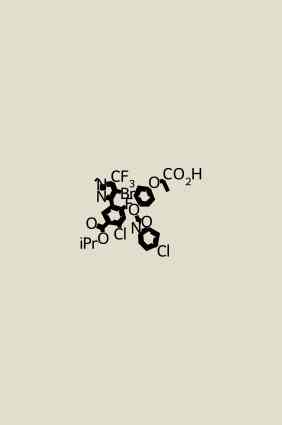 CC(C)OC(=O)c1cc(-c2nn(C)c(C(F)(F)F)c2Br)c(F)cc1Cl.CC(Oc1ccc(Oc2nc3ccc(Cl)cc3o2)cc1)C(=O)O